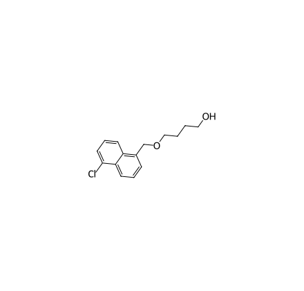 OCCCCOCc1cccc2c(Cl)cccc12